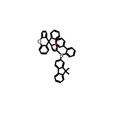 CC1(C)c2ccccc2-c2ccc(N(C3=CC4c5ccccc5C5(c6ccccc6Oc6ccccc65)C4C=C3)c3ccccc3-c3ccccc3)cc21